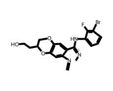 C=Nc1cc2c(cc1/C(=N\C)Nc1cccc(Br)c1F)OCC(CCO)O2